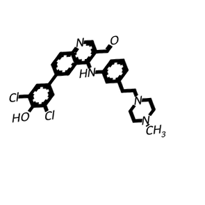 CN1CCN(CCc2cccc(Nc3c(C=O)cnc4ccc(-c5cc(Cl)c(O)c(Cl)c5)cc34)c2)CC1